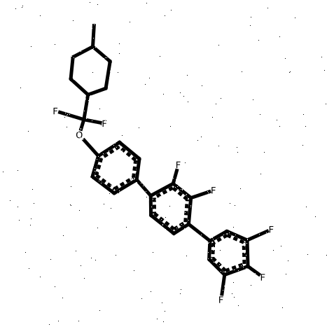 CC1CCC(C(F)(F)Oc2ccc(-c3ccc(-c4cc(F)c(F)c(F)c4)c(F)c3F)cc2)CC1